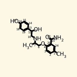 Cc1ccc(OCC(C)NCC(O)c2ccc(O)cc2)c(C(N)=O)c1